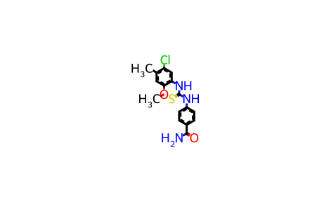 COc1cc(C)c(Cl)cc1NC(=S)Nc1ccc(C(N)=O)cc1